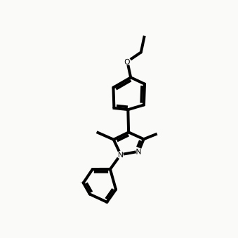 CCOc1ccc(-c2c(C)nn(-c3c[c]ccc3)c2C)cc1